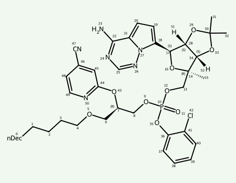 CCCCCCCCCCCCCCOC[C@H](COP(=O)(OC[C@@]1(C)O[C@@H](c2ccc3c(N)ncnn23)[C@@H]2OC(C)(C)O[C@@H]21)Oc1ccccc1Cl)Oc1cc(C#N)ccn1